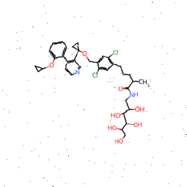 CC(CCCc1cc(Cl)c(COC2(c3cnccc3-c3ccccc3OC3CC3)CC2)cc1Cl)C(=O)NCC(O)C(O)C(O)C(O)CO